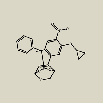 Cc1cc([N+](=O)[O-])c(OC2CC2)cc1C1=CC2CN(Cc3ccccc3)CC1CO2